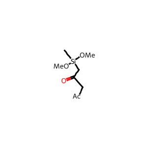 CO[Si](C)(CC(=O)CC(C)=O)OC